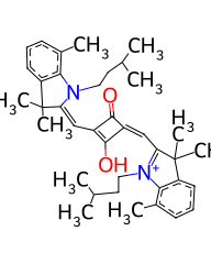 Cc1cccc2c1N(CCC(C)C)/C(=C\C1=C(O)C(=C\C3=[N+](CCC(C)C)c4c(C)cccc4C3(C)C)/C1=O)C2(C)C